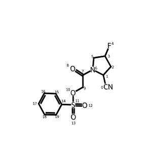 N#CC1CC(F)CN1C(=O)COS(=O)(=O)c1ccccc1